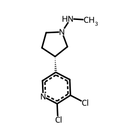 CNN1CC[C@@H](c2cnc(Cl)c(Cl)c2)C1